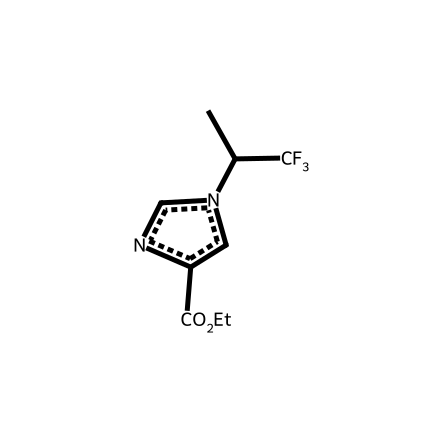 CCOC(=O)c1cn(C(C)C(F)(F)F)cn1